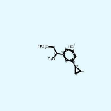 Cl.NC(CC(=O)O)c1cccc(C2CC2)c1